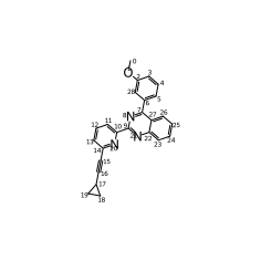 COc1cccc(-c2nc(-c3cccc(C#CC4CC4)n3)nc3ccccc23)c1